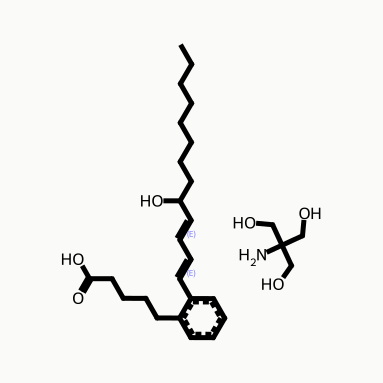 CCCCCCCCC(O)/C=C/C=C/c1ccccc1CCCCC(=O)O.NC(CO)(CO)CO